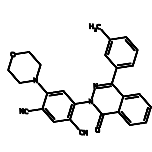 Cc1cccc(-c2nn(-c3cc(N4CCOCC4)c(C#N)cc3C#N)c(=O)c3ccccc23)c1